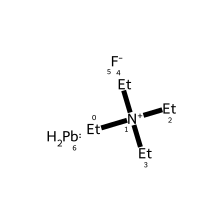 CC[N+](CC)(CC)CC.[F-].[PbH2]